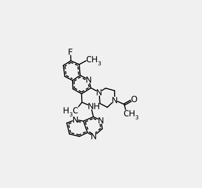 CC(=O)N1CCN(c2nc3c(C)c(F)ccc3cc2C(C)Nc2ncnc3cccnc23)CC1